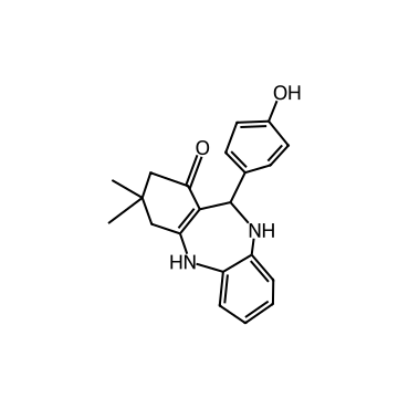 CC1(C)CC(=O)C2=C(C1)Nc1ccccc1NC2c1ccc(O)cc1